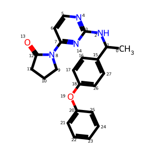 CC(Nc1nccc(N2CCCC2=O)n1)c1ccc(Oc2ccccc2)cc1